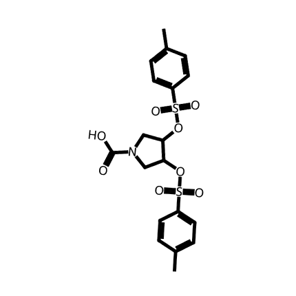 Cc1ccc(S(=O)(=O)OC2CN(C(=O)O)CC2OS(=O)(=O)c2ccc(C)cc2)cc1